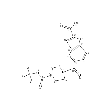 CC(C)(C)OC(=O)N1CCN(C(=O)c2ccc3oc(C(=O)O)cc3c2)CC1